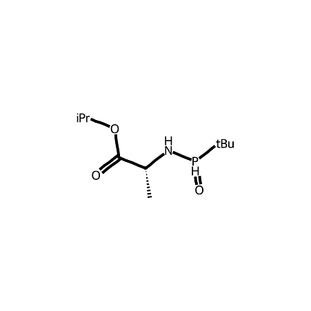 CC(C)OC(=O)[C@@H](C)N[PH](=O)C(C)(C)C